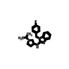 CC(C)N1CCC(Nc2nc3ccccc3n2Cc2ccc(F)cc2)C1